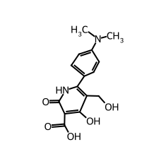 CN(C)c1ccc(-c2[nH]c(=O)c(C(=O)O)c(O)c2CO)cc1